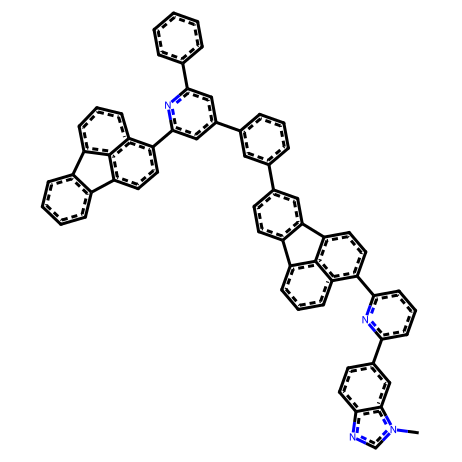 Cn1cnc2ccc(-c3cccc(-c4ccc5c6c(cccc46)-c4ccc(-c6cccc(-c7cc(-c8ccccc8)nc(-c8ccc9c%10c(cccc8%10)-c8ccccc8-9)c7)c6)cc4-5)n3)cc21